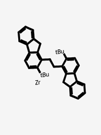 CC(C)(C)c1ccc2c(c1CCc1c(C(C)(C)C)ccc3c1Cc1ccccc1-3)Cc1ccccc1-2.[Zr]